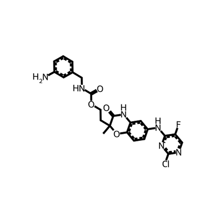 CC1(CCOC(=O)NCc2cccc(N)c2)Oc2ccc(Nc3nc(Cl)ncc3F)cc2NC1=O